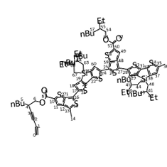 C#CC#CC(CCCC)COC(=O)c1cc2c(C)sc(-c3cc4c(s3)-c3sc(-c5sc(-c6cc7c(s6)-c6sc(C)cc6[Si]7(CC(CC)CCCC)CC(CC)CCCC)c6cc(C(=O)OCC(CC)CCCC)sc56)cc3[Si]4(CC(CC)CCCC)CC(CC)CCCC)c2s1